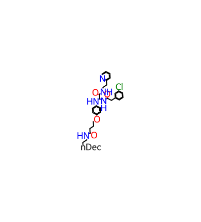 CCCCCCCCCCCCNC(=O)CCCOc1ccc(NC(NC(=O)Cc2cccc(Cl)c2)C(=O)NCCc2ccccn2)cc1